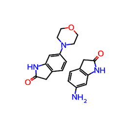 Nc1ccc2c(c1)NC(=O)C2.O=C1Cc2ccc(N3CCOCC3)cc2N1